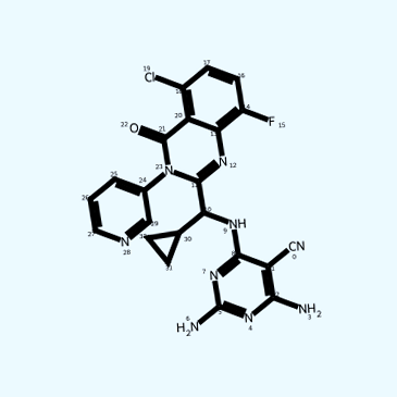 N#Cc1c(N)nc(N)nc1NC(c1nc2c(F)ccc(Cl)c2c(=O)n1-c1cccnc1)C1CC1